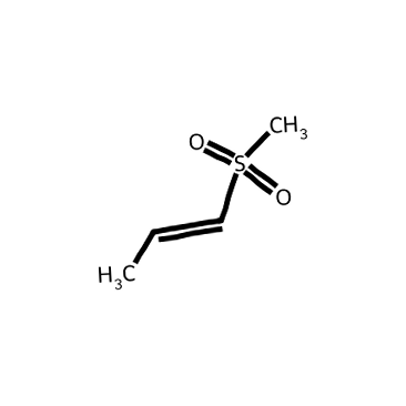 CC=CS(C)(=O)=O